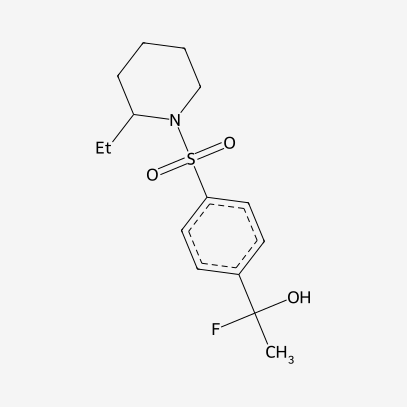 CCC1CCCCN1S(=O)(=O)c1ccc(C(C)(O)F)cc1